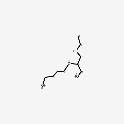 CCOCC(CO)OCCCCO